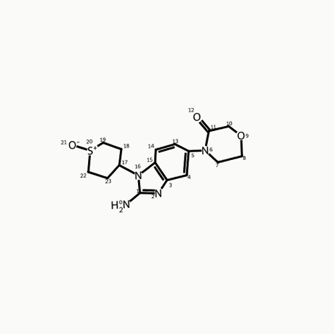 Nc1nc2cc(N3CCOCC3=O)ccc2n1C1CC[S+]([O-])CC1